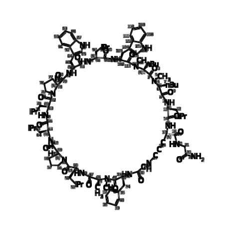 CCCC[C@H]1C(=O)N(C)[C@@H](CCCC)C(=O)N[C@@H](CC(C)C)C(=O)N[C@H](C(=O)NCC(N)=O)CCCNCC(=O)N[C@@H](Cc2ccccc2)C(=O)N(C)[C@@H](C)C(=O)N[C@@H](CC(C)C)C(=O)N2CCC[C@H]2C(=O)N[C@@H](CC(C)C)C(=O)N[C@@H](CC(C)C)C(=O)N2CCC[C@H]2C(=O)N[C@@H](Cc2c[nH]c3ccccc23)C(=O)N[C@@H](CC(C)C)C(=O)N[C@@H](Cc2c[nH]c3ccccc23)C(=O)N1C